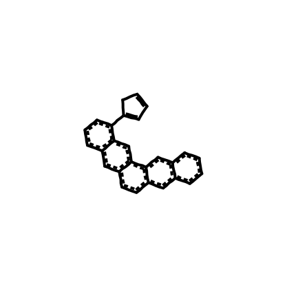 C1=CCC(c2cccc3cc4ccc5cc6ccccc6cc5c4cc23)=C1